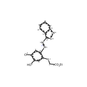 CCOC(=O)CSc1cc(O)c(Cl)cc1/N=N/c1snc2ccccc12